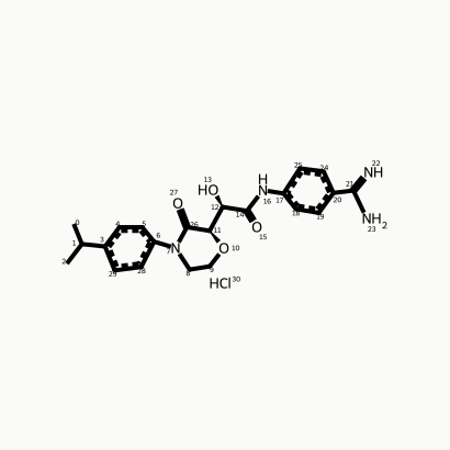 CC(C)c1ccc(N2CCO[C@H]([C@@H](O)C(=O)Nc3ccc(C(=N)N)cc3)C2=O)cc1.Cl